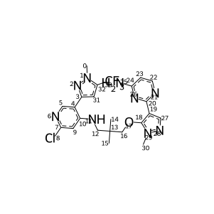 Cn1nc(-c2cnc(Cl)cc2NCC(C)(C)COc2c(-c3nccc(N)n3)cnn2C)cc1C(F)(F)F